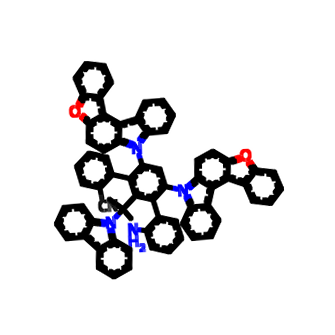 CC(C)(c1c(-c2ccccc2N)c(-n2c3ccccc3c3c4c(ccc32)oc2ccccc24)cc(-n2c3ccccc3c3c4c(ccc32)oc2ccccc24)c1-c1ccccc1C#N)n1c2ccccc2c2ccccc21